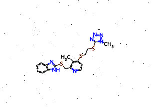 Cc1c(SCCSc2nnnn2C)ccnc1CSc1nc2ccccc2[nH]1